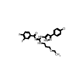 CCOCCCN/C(=N/C(=O)c1ccc(F)c(F)c1)Nc1cc(-c2ccc(Cl)cc2)n[nH]1